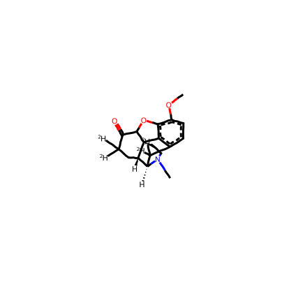 [2H]C1([2H])C[C@H]2[C@@H]3N(C)CC[C@@]24c2c(ccc(OC)c2OC4C1=O)C3([2H])[2H]